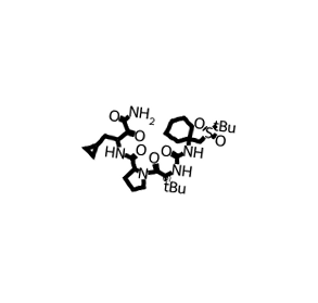 CC(C)(C)[C@H](NC(=O)NC1(CS(=O)(=O)C(C)(C)C)CCCCC1)C(=O)N1CCCC1C(=O)NC(CC1CC1)C(=O)C(N)=O